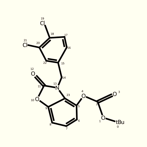 CC(C)(C)OC(=O)Oc1cccc2oc(=O)n(Cc3ccc(Cl)c(Cl)c3)c12